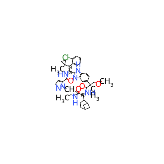 CCNC(=O)[C@H](NC(=O)C(C)(COC)c1ccc2[nH]c([C@@H](NC(=O)c3ccnn3C)[C@H](c3ccccc3Cl)C3(C)CC3)nc2c1)C1CCC2CC1C2